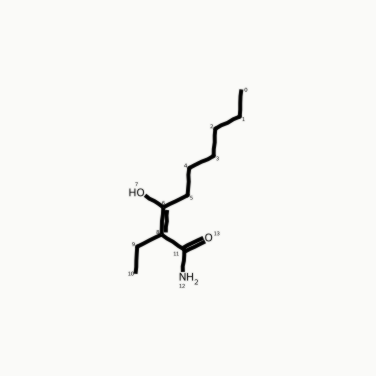 CCCCCCC(O)=C(CC)C(N)=O